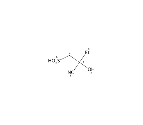 CCC(O)(C#N)CS(=O)(=O)O